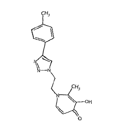 Cc1ccc(-c2cn(CCn3ccc(=O)c(O)c3C)nn2)cc1